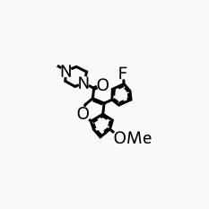 COc1ccc2c(c1)C(c1cccc(F)c1)=C(C(=O)N1CCN(C)CC1)CO2